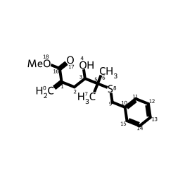 C=C(CC(O)C(C)(C)SCc1ccccc1)C(=O)OC